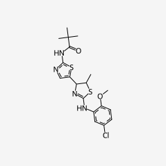 COc1ccc(Cl)cc1NC1=NC(c2cnc(NC(=O)C(C)(C)C)s2)C(C)S1